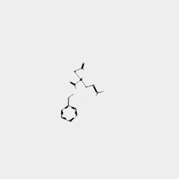 CC(C)=CCC1(C(=O)OCc2ccccc2)CC(=O)O1